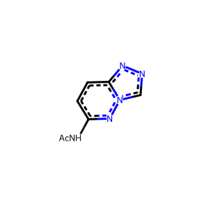 CC(=O)Nc1ccc2nncn2n1